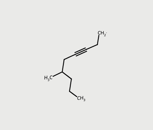 [CH2]CC#CCC(C)CCC